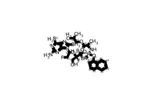 Bc1nc(N)nc2c1nc(B)n2C(CF)O[C@@](F)(CO)C(B)(B)OP(=O)(NC(C)C(=O)OCC(C)C)Oc1cccc2ccccc12